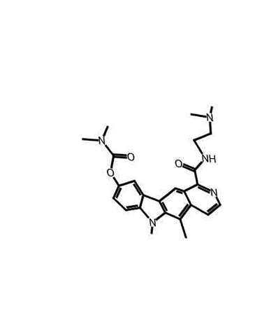 Cc1c2ccnc(C(=O)NCCN(C)C)c2cc2c3cc(OC(=O)N(C)C)ccc3n(C)c12